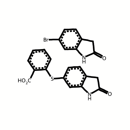 O=C1Cc2ccc(Br)cc2N1.O=C1Cc2ccc(Sc3ccccc3C(=O)O)cc2N1